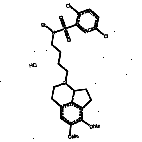 CCN(CCCCN1CCc2cc(OC)c(OC)c3c2C1CC3)S(=O)(=O)c1cc(Cl)ccc1Cl.Cl